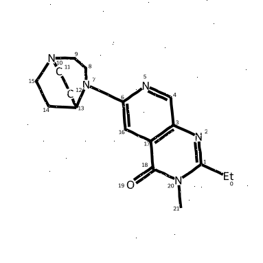 CCc1nc2cnc(N3CCN4CCC3CC4)cc2c(=O)n1C